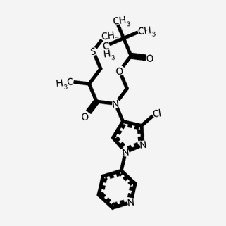 CSCC(C)C(=O)N(COC(=O)C(C)(C)C)c1cn(-c2cccnc2)nc1Cl